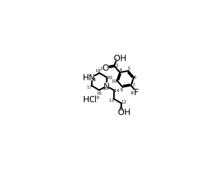 Cl.O=C(O)c1ccc(F)cc1.OCCCN1CCNCC1